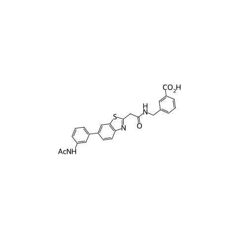 CC(=O)Nc1cccc(-c2ccc3nc(CC(=O)NCc4cccc(C(=O)O)c4)sc3c2)c1